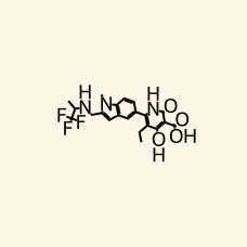 CCc1c(-c2ccc3c(c2)cc(CNC(C)C(F)(F)F)n3C)[nH]c(=O)c(C(=O)O)c1O